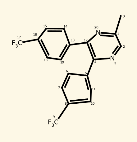 Cc1cnc(-c2ccc(C(F)(F)F)cc2)c(-c2ccc(C(F)(F)F)cc2)n1